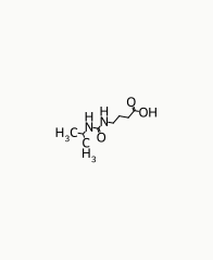 CC(C)NC(=O)NCCCC(=O)O